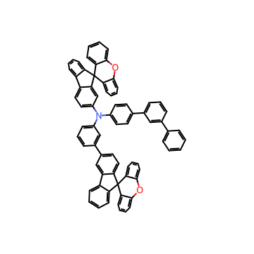 c1ccc(-c2cccc(-c3ccc(N(c4cccc(-c5ccc6c(c5)-c5ccccc5C65c6ccccc6Oc6ccccc65)c4)c4ccc5c(c4)C4(c6ccccc6Oc6ccccc64)c4ccccc4-5)cc3)c2)cc1